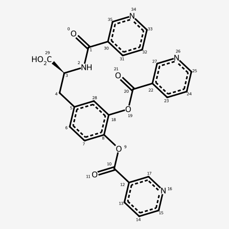 O=C(N[C@@H](Cc1ccc(OC(=O)c2cccnc2)c(OC(=O)c2cccnc2)c1)C(=O)O)c1cccnc1